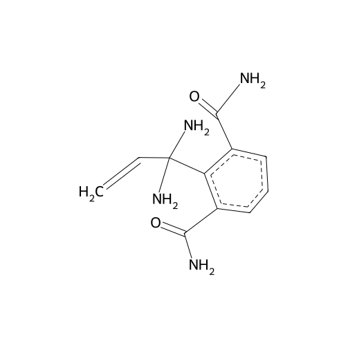 C=CC(N)(N)c1c(C(N)=O)cccc1C(N)=O